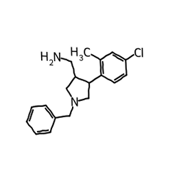 Cc1cc(Cl)ccc1C1CN(Cc2ccccc2)CC1CN